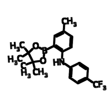 Cc1ccc(Nc2ccc(C(F)(F)F)cc2)c(B2OC(C)(C)C(C)(C)O2)c1